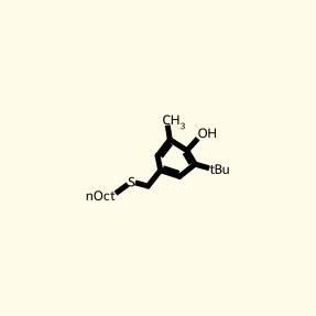 CCCCCCCCSCc1cc(C)c(O)c(C(C)(C)C)c1